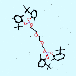 Cc1cccc(C(C)(C)C)c1OP(OCCOCCOCCOP(Oc1c(C)cccc1C(C)(C)C)Oc1c(C)cccc1C(C)(C)C)Oc1c(C)cccc1C(C)(C)C